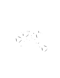 CN(C)c1ccc(O)c2c1CC1CC3C(NC(=O)Nc4ccccc4)C(O)=C(C(N)=O)C(O)(O)C3C(O)=C1C2=O